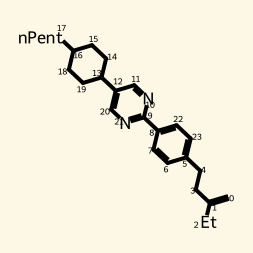 C=C(CC)CCc1ccc(-c2ncc(C3CCC(CCCCC)CC3)cn2)cc1